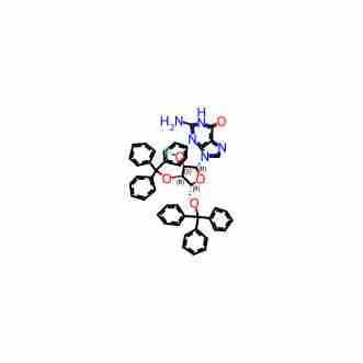 Nc1nc2c(ncn2[C@@H]2O[C@H](COC(c3ccccc3)(c3ccccc3)c3ccccc3)[C@@H](OC(c3ccccc3)(c3ccccc3)c3ccccc3)[C@@H]2OF)c(=O)[nH]1